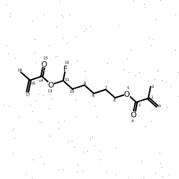 C=C(C)C(=O)OCCCCCC(F)OC(=O)C(=C)C